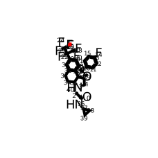 O=C(CN1CC[C@@]2(S(=O)(=O)c3ccc(F)cc3)c3ccc(C(F)(C(F)(F)F)C(F)(F)F)cc3CC[C@@H]12)NC1CC1